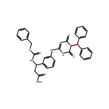 COC(=O)CC(NC(=O)OCc1ccccc1)c1cccc(NC(=NC(=O)OCc2ccccc2)NC(=O)OCc2ccccc2)c1